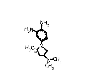 C[C@H]1CC(N(C)C)CN1c1ccc(N)c(N)c1